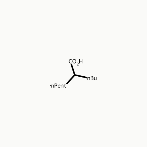 CCCC[CH]C(CCCC)C(=O)O